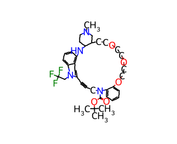 CN1CCC2Nc3cccc4c3cc(n4CC(F)(F)F)C#CCN(C(=O)OC(C)(C)C)c3ccccc3OCCOCCOCCC2C1